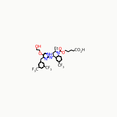 CC[C@@H]1C[C@H](Nc2ncc(OCCO)c(Cc3cc(C(F)(F)F)cc(C(F)(F)F)c3)n2)c2cc(C(F)(F)F)ccc2N1C(=O)OCCCCC(=O)O